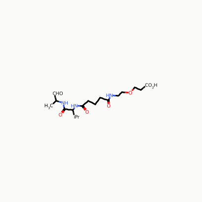 CC(C=O)NC(=O)C(NC(=O)CCCC(=O)NCCOCCC(=O)O)C(C)C